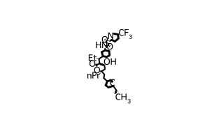 C/C=C/c1ccc(CC[C@]2(CCC)CC(O)=C([C@H](CC)c3cccc(NS(=O)(=O)c4ccc(C(F)(F)F)cn4)c3)C(=O)O2)cc1